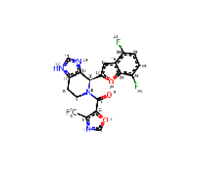 O=C(c1ocnc1C(F)(F)F)N1CCc2[nH]cnc2[C@H]1c1cc2c(F)ccc(F)c2o1